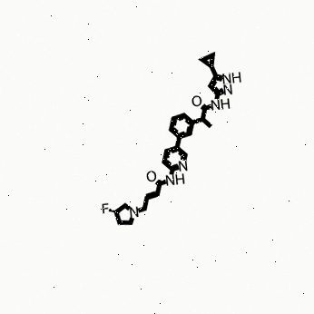 CC(C(=O)Nc1cc(C2CC2)[nH]n1)c1cccc(-c2ccc(NC(=O)C=CCN3CC[C@@H](F)C3)nc2)c1